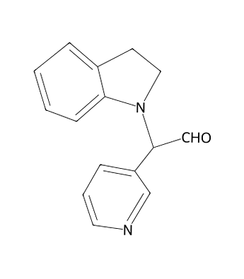 O=CC(c1cccnc1)N1CCc2ccccc21